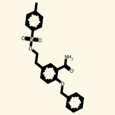 Cc1ccc(S(=O)(=O)OCCc2ccc(OCc3ccccc3)c(C(N)=O)c2)cc1